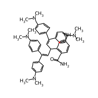 CN(C)c1ccc(C(=CC(C=C(c2ccc(N(C)C)cc2)c2ccc(N(C)C)cc2)c2cc(O)ccc2C(N)=O)c2ccc(N(C)C)cc2)cc1